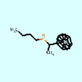 CCCCPC(C)[C]12[CH]3[CH]4[CH]5[CH]1[Fe]45321678[CH]2[CH]1[CH]6[CH]7[CH]28